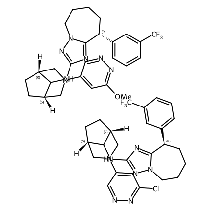 COc1cc(N2C[C@H]3CC[C@@H](C2)C3Nc2nc3n(n2)CCCC[C@@H]3c2cccc(C(F)(F)F)c2)cnn1.FC(F)(F)c1cccc([C@H]2CCCCn3nc(NC4[C@@H]5CC[C@H]4CN(c4cnnc(Cl)c4)C5)nc32)c1